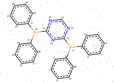 c1ccc(P(c2ccccc2)c2ncnc(P(c3ccccc3)c3ccccc3)n2)cc1